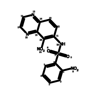 O=[N+]([O-])c1ccccc1S(=O)(=O)Nc1ccc2nccnc2c1[N+](=O)[O-]